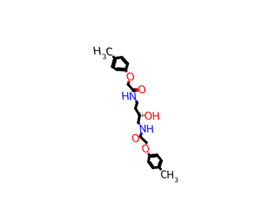 Cc1ccc(OCC(=O)NCC[C@H](O)CNC(=O)COc2ccc(C)cc2)cc1